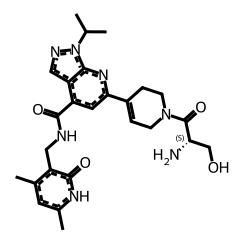 Cc1cc(C)c(CNC(=O)c2cc(C3=CCN(C(=O)[C@@H](N)CO)CC3)nc3c2cnn3C(C)C)c(=O)[nH]1